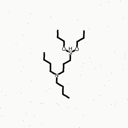 CCCCN(CCCC)CCC[SiH](OCCC)OCCC